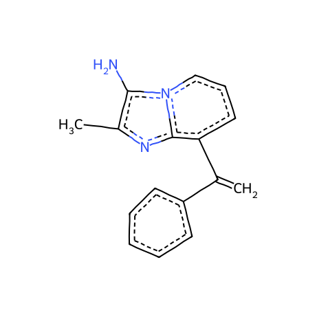 C=C(c1ccccc1)c1cccn2c(N)c(C)nc12